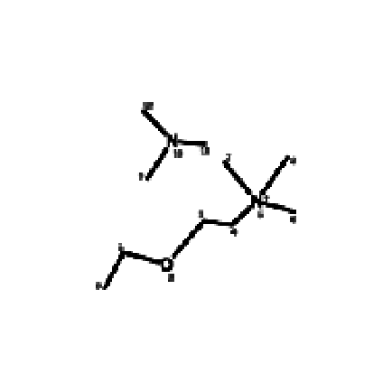 CCOCC[N+](C)(C)C.CN(C)C